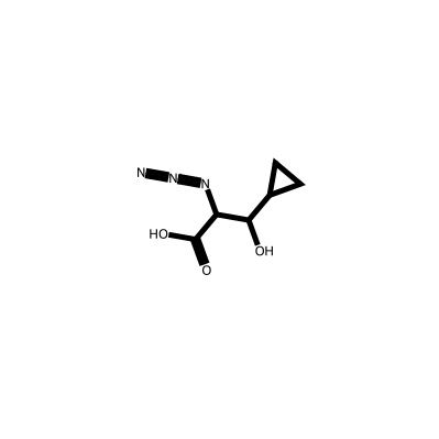 [N-]=[N+]=NC(C(=O)O)C(O)C1CC1